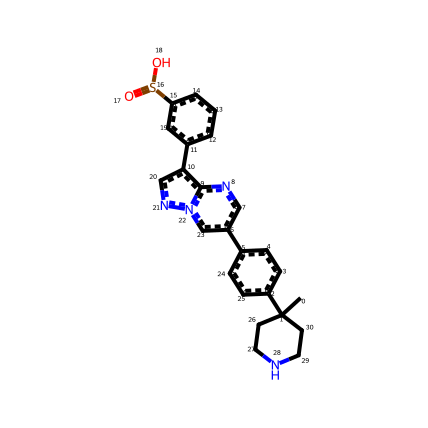 CC1(c2ccc(-c3cnc4c(-c5cccc(S(=O)O)c5)cnn4c3)cc2)CCNCC1